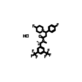 C[C@@H](c1cc(C(F)(F)F)cc(C(F)(F)F)c1)N(C)C(=O)CC(c1ccc(F)cc1)N1CCC(F)CC1.Cl